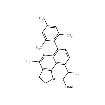 CCC(COC)c1cnc(-c2c(C)cc(C)cc2C)c2nc(C)c3c(c12)NCC3